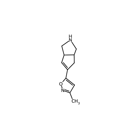 Cc1cc(C2=CC3CNCC3C2)on1